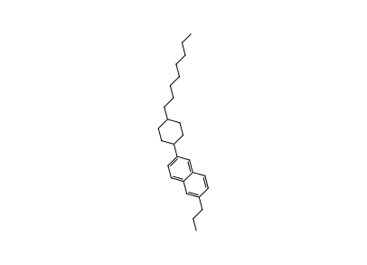 CCCCCCCCC1CCC(c2ccc3cc(CCC)ccc3c2)CC1